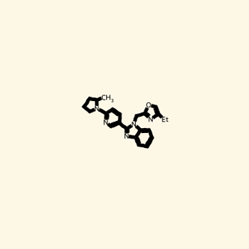 CCc1coc(Cn2c(-c3ccc(N4CCCC4C)nc3)nc3ccccc32)n1